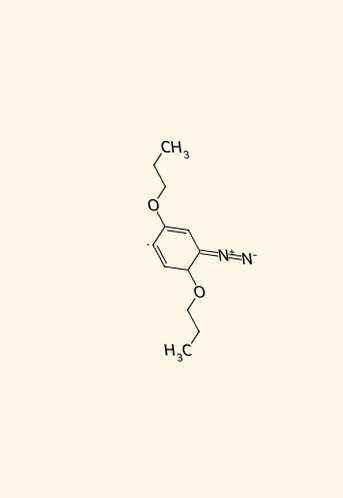 CCCOC1=CC(=[N+]=[N-])C(OCCC)C=[C]1